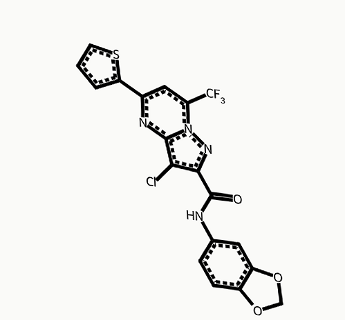 O=C(Nc1ccc2c(c1)OCO2)c1nn2c(C(F)(F)F)cc(-c3cccs3)nc2c1Cl